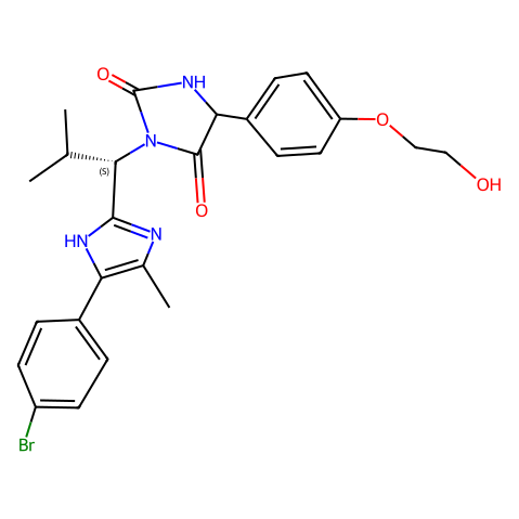 Cc1nc([C@H](C(C)C)N2C(=O)NC(c3ccc(OCCO)cc3)C2=O)[nH]c1-c1ccc(Br)cc1